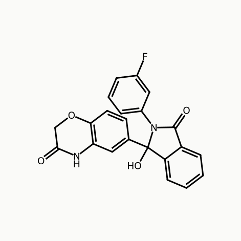 O=C1COc2ccc(C3(O)c4ccccc4C(=O)N3c3cccc(F)c3)cc2N1